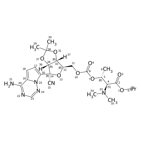 CC(C)OC(=O)[C@H]([C@@H](C)OC(=O)OC[C@H]1O[C@@](C#N)(c2ccc3c(N)ncnn23)[C@@H]2OC(C)(C)O[C@@H]21)N(C)C